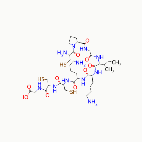 CC[C@H](C)[C@H](NC(=O)CNC(=O)[C@@H]1CCCN1C(=O)[C@@H](N)CS)C(=O)N[C@@H](CCCCN)C(=O)N[C@@H](CCCCN)C(=O)N[C@@H](CS)C(=O)N[C@@H](CS)C(=O)NCC(=O)O